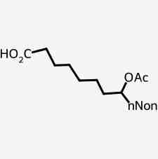 CCCCCCCCCC(CCCCCCC(=O)O)OC(C)=O